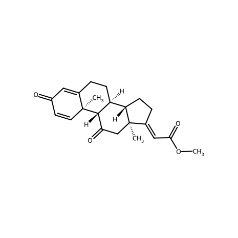 COC(=O)C=C1CC[C@H]2[C@@H]3CCC4=CC(=O)C=C[C@]4(C)[C@H]3C(=O)C[C@]12C